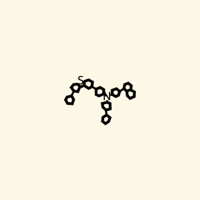 c1ccc(-c2ccc(N(c3ccc(-c4ccc5sc6ccc(-c7ccccc7)cc6c5c4)cc3)c3ccc(-c4cccc5ccccc45)cc3)cc2)cc1